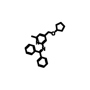 Cc1cc(COC2CCCC2)cc(N=C(c2ccccc2)c2ccccc2)n1